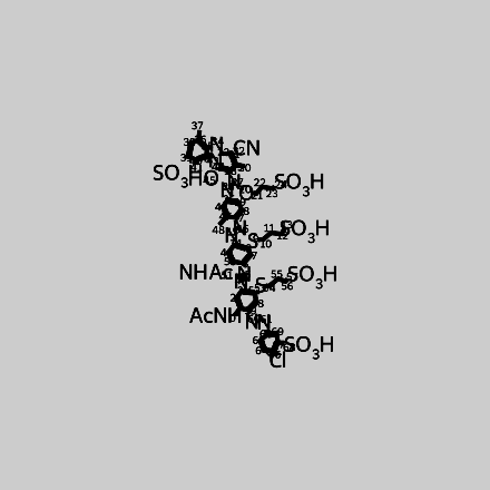 CC(=O)Nc1cc(N=Nc2cc(SCCCS(=O)(=O)O)c(N=Nc3cc(OCCCS(=O)(=O)O)c(N=Nc4c(C)c(C#N)c5nc6c(C)ccc(S(=O)(=O)O)c6n5c4O)cc3C)cc2NC(C)=O)c(SCCCS(=O)(=O)O)cc1N=Nc1ccc(Cl)c(S(=O)(=O)O)c1